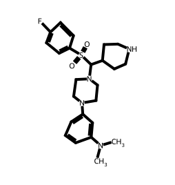 CN(C)c1cccc(N2CCN(C(C3CCNCC3)S(=O)(=O)c3ccc(F)cc3)CC2)c1